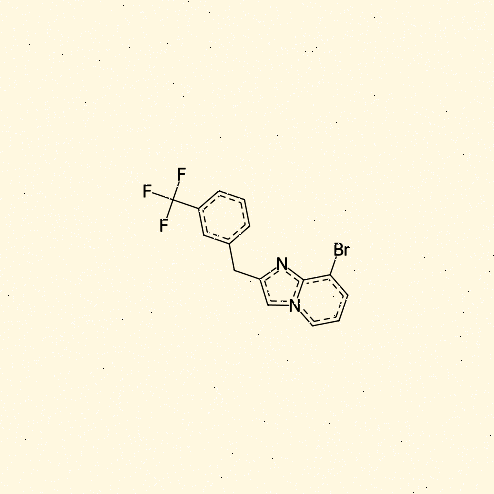 FC(F)(F)c1cccc(Cc2cn3cccc(Br)c3n2)c1